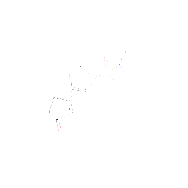 CN(C)S(=O)(=O)n1cnc(C2=CC(=O)CC2)c1